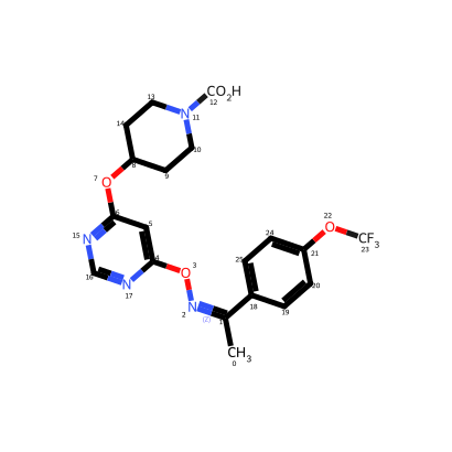 C/C(=N/Oc1cc(OC2CCN(C(=O)O)CC2)ncn1)c1ccc(OC(F)(F)F)cc1